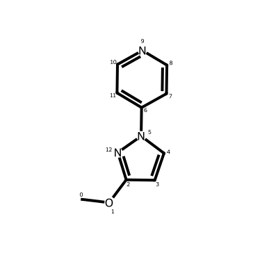 COc1ccn(-c2ccncc2)n1